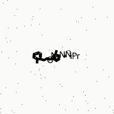 Cc1ccccc1CCOc1ccc(/N=C/N(C)C(C)C)c(C)n1